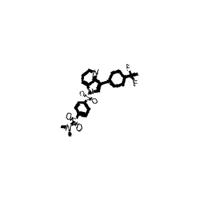 CN(C)S(=O)(=O)c1ccc(S(=O)(=O)n2cc(C3CCC(C(C)(F)F)CC3)c3ncccc32)cc1